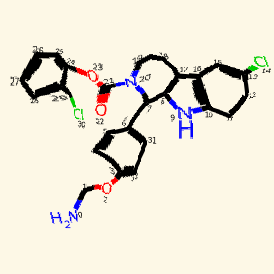 NCOc1ccc(C2c3[nH]c4ccc(Cl)cc4c3CCN2C(=O)Oc2ccccc2Cl)cc1